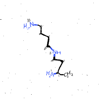 CC(N)CCNCCCCN